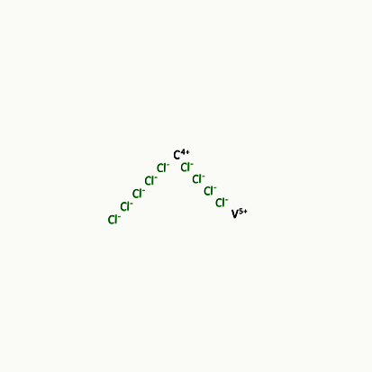 [C+4].[Cl-].[Cl-].[Cl-].[Cl-].[Cl-].[Cl-].[Cl-].[Cl-].[Cl-].[V+5]